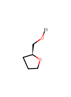 CCOC[C@@H]1CCCO1